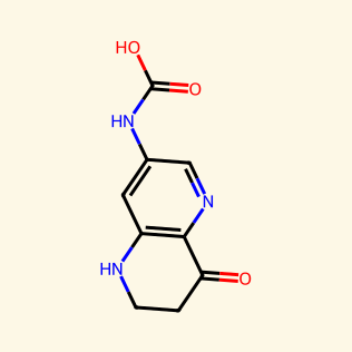 O=C(O)Nc1cnc2c(c1)NCCC2=O